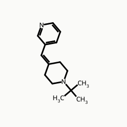 CC(C)(C)N1CCC(=Cc2cccnc2)CC1